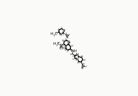 Cc1ccnc([C@H]2C[C@@H]2c2cc(N(C)C)c3ccc(NCc4cn5cc(C6CC6)ccc5n4)cc3n2)n1